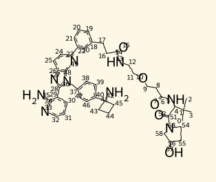 CC(C)(C)[C@H](NC(=O)CCOCCNC(=O)CCc1cccc(-c2ccc3nc(-c4cccnc4N)n(-c4ccc(C5(N)CCC5)cc4)c3n2)c1)C(=O)N1CC[C@@H](O)C1